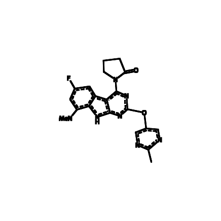 CNc1cc(F)cc2c1[nH]c1nc(Oc3cnc(C)nc3)nc(N3CCCC3=O)c12